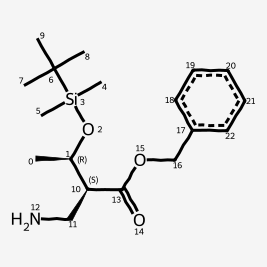 C[C@@H](O[Si](C)(C)C(C)(C)C)[C@H](CN)C(=O)OCc1ccccc1